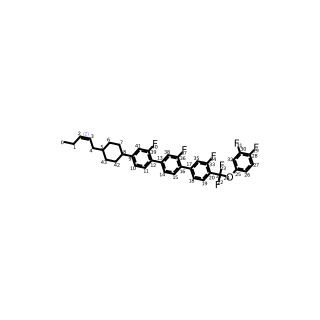 CC/C=C\CC1CCC(c2ccc(-c3ccc(-c4ccc(C(F)(F)Oc5ccc(F)c(F)c5)c(F)c4)c(F)c3)c(F)c2)CC1